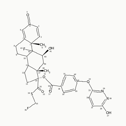 C[C@]12C=CC(=O)C=C1CCC1C3CC[C@](OC(=O)c4ccc(Oc5ccc(O)nn5)cc4)(C(=O)SCF)[C@@]3(C)C[C@H](O)C12F